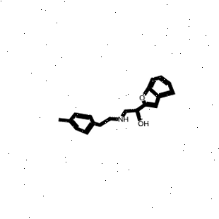 Cc1ccc(CCNCC(O)c2cc3ccccc3o2)cc1